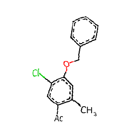 CC(=O)c1cc(Cl)c(OCc2ccccc2)cc1C